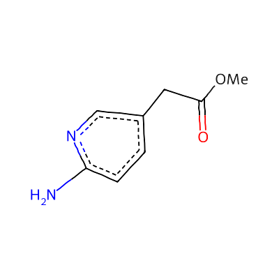 COC(=O)Cc1ccc(N)nc1